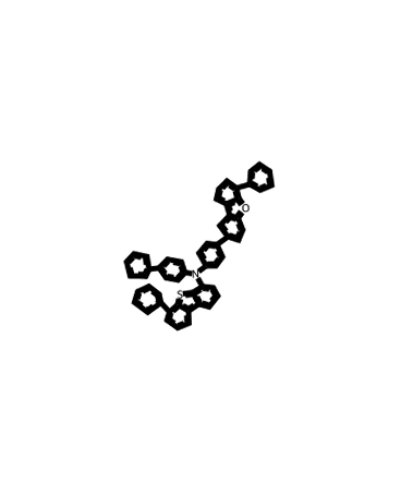 c1ccc(-c2ccc(N(c3ccc(-c4ccc5oc6c(-c7ccccc7)cccc6c5c4)cc3)c3cccc4c3sc3c(-c5ccccc5)cccc34)cc2)cc1